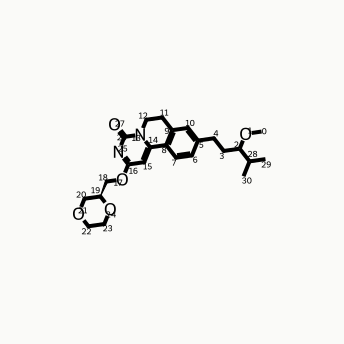 COC(CCc1ccc2c(c1)CCn1c-2cc(OC[C@@H]2COCCO2)nc1=O)C(C)C